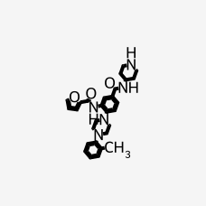 Cc1ccccc1N1CCN(c2ccc(C(=O)NC3CCNCC3)cc2NC(=O)c2ccco2)CC1